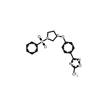 O=S(=O)(c1ccccc1)N1CC[C@@H](Oc2ccc(-c3noc(C(F)(F)F)n3)cc2)C1